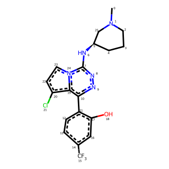 CN1CCC[C@@H](Nc2nnc(-c3ccc(C(F)(F)F)cc3O)c3c(Cl)ccn23)C1